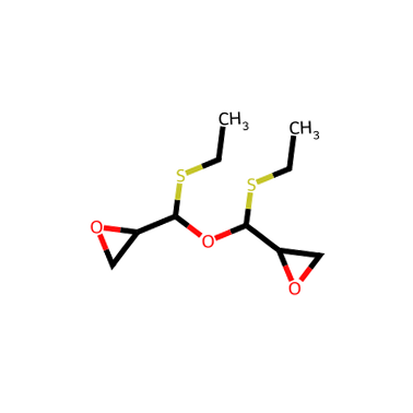 CCSC(OC(SCC)C1CO1)C1CO1